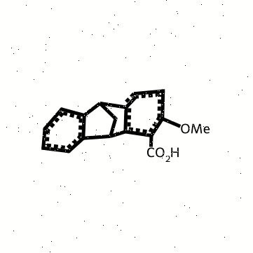 COc1ccc2c(c1C(=O)O)C1CC2c2ccccc21